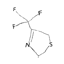 FC(F)(F)C1=N[CH]SC1